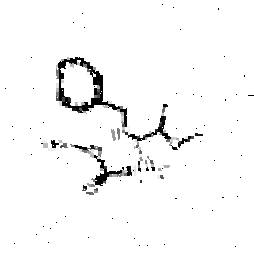 CC(C)(C)OC(N)=O.O=C(O)[C@H](NCc1ccccc1)C(F)OF